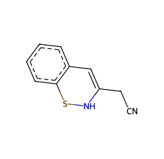 N#CCC1=Cc2ccccc2SN1